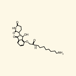 NCCCCCCCCNC(=O)COc1cccc2c1C(O)N(C1CCC(=O)NC1=O)C2=O